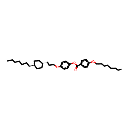 CCCCCCCCOc1ccc(C(=O)Oc2ccc(OCCC[C@H]3CC[C@H](CCCCCCC)CC3)cc2)cc1